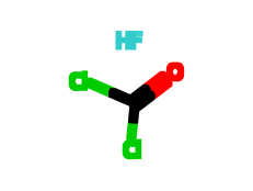 F.O=C(Cl)Cl